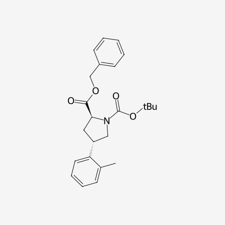 Cc1ccccc1[C@@H]1C[C@@H](C(=O)OCc2ccccc2)N(C(=O)OC(C)(C)C)C1